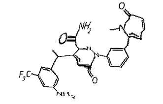 CC(c1cc(N)cc(C(F)(F)F)c1)c1cc(=O)n(-c2cccc(-c3cccc(=O)n3C)c2)nc1C(N)=O